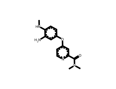 CNc1ccc(Oc2ccnc(C(=O)N(C)C)c2)cc1N